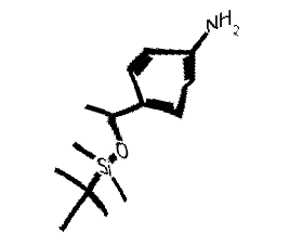 CC(O[Si](C)(C)C(C)(C)C)c1ccc(N)cc1